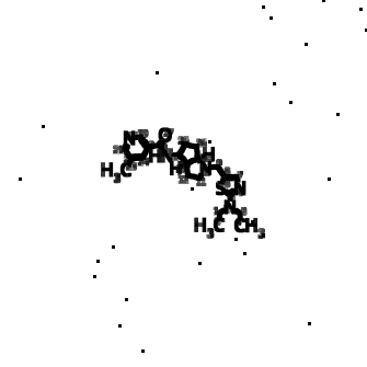 CCN(CC)c1ncc(CN2CC[C@H]3[C@@H](NC(=O)c4cncc(C)c4)CC[C@H]32)s1